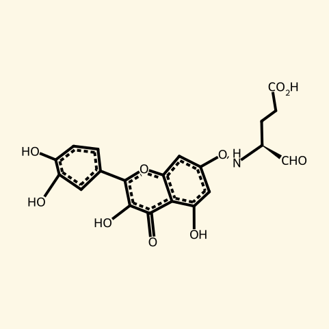 O=C[C@H](CCC(=O)O)NOc1cc(O)c2c(=O)c(O)c(-c3ccc(O)c(O)c3)oc2c1